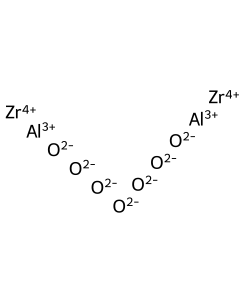 [Al+3].[Al+3].[O-2].[O-2].[O-2].[O-2].[O-2].[O-2].[O-2].[Zr+4].[Zr+4]